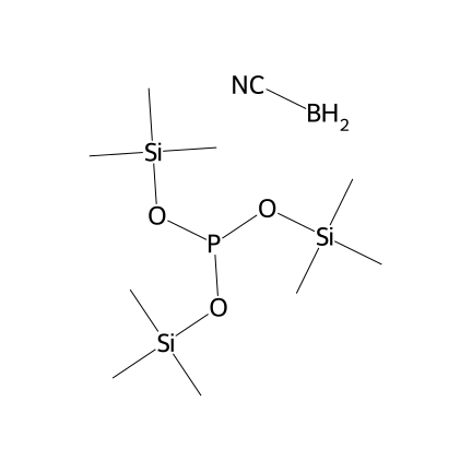 BC#N.C[Si](C)(C)OP(O[Si](C)(C)C)O[Si](C)(C)C